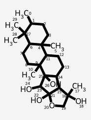 CC1CCC2(C)C(CCC3(C)C2CCC2C4C(C)(O)COC4(O)C(O)C23O)C1(C)C